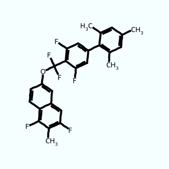 Cc1cc(C)c(-c2cc(F)c(C(F)(F)Oc3ccc4c(F)c(C)c(F)cc4c3)c(F)c2)c(C)c1